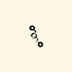 c1ccc(CN2CCO[C@H](COc3ccccc3)C2)cc1